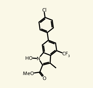 COC(=O)c1c(C)c2c(C(F)(F)F)cc(-c3ccc(Cl)cc3)cc2n1O